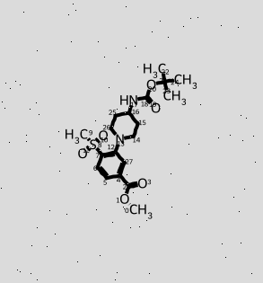 COC(=O)c1ccc(S(C)(=O)=O)c(N2CCC(NC(=O)OC(C)(C)C)CC2)c1